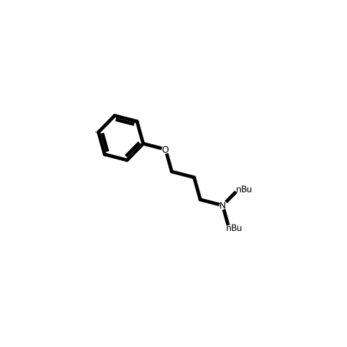 CCCCN(CCCC)CCCOc1cc[c]cc1